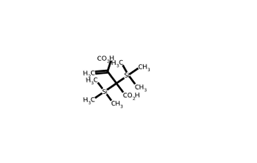 C=C(C(=O)O)C(C(=O)O)([Si](C)(C)C)[Si](C)(C)C